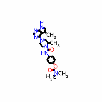 Cc1c[nH]c2ncnc(N3CCN(C(=O)Nc4ccc(OC(=O)N(C)C)cc4)C(C)C3)c12